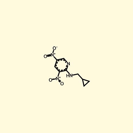 O=[N+]([O-])c1cnc(NCC2CC2)c([N+](=O)[O-])c1